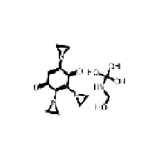 O=C1C=C(N2CC2)C(=O)C(N2CC2)=C1N1CC1.OCNC(O)(O)O